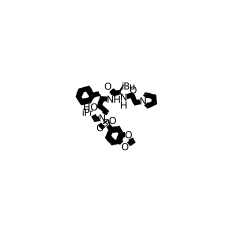 CC[C@H](C)[C@H](NC(=O)CN1CCCC1)C(=O)N[C@@H](Cc1ccccc1)[C@H](O)CN(CC(C)C)S(=O)(=O)c1ccc2c(c1)OCO2